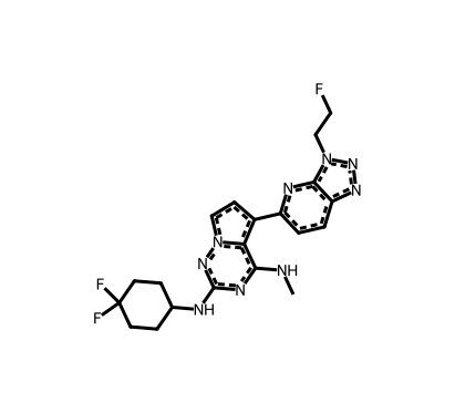 CNc1nc(NC2CCC(F)(F)CC2)nn2ccc(-c3ccc4nnn(CCF)c4n3)c12